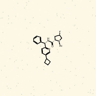 CC(=O)N1C[C@H](F)C[C@H]1C(=O)N[C@@H](c1ccccc1)c1ccc(C2CCC2)cn1